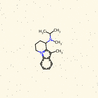 Cc1c2n(c3ccccc13)CCCC2N(C)C(C)C